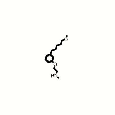 CNCCOc1cccc(CCCCCOC)c1